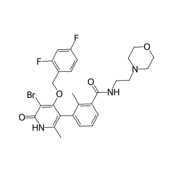 Cc1[nH]c(=O)c(Br)c(OCc2ccc(F)cc2F)c1-c1cccc(C(=O)NCCN2CCOCC2)c1C